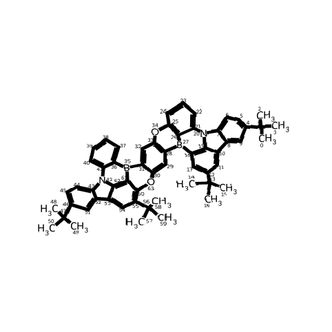 CC(C)(C)c1ccc2c(c1)c1cc(C(C)(C)C)cc3c1n2-c1cccc2c1B3c1cc3c(cc1O2)B1c2ccccc2-n2c4ccc(C(C)(C)C)cc4c4cc(C(C)(C)C)c(c1c42)O3